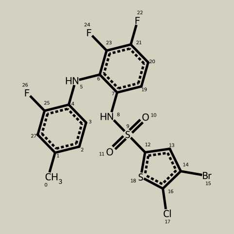 Cc1ccc(Nc2c(NS(=O)(=O)c3cc(Br)c(Cl)s3)ccc(F)c2F)c(F)c1